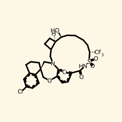 O=C1NS(=O)(=O)[C@@H](C(F)(F)F)CCCC[C@H](O)[C@@H]2CCC2CN2C[C@@]3(CCCc4cc(Cl)ccc43)COc3ccc1cc32